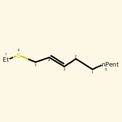 CCCCCCC/C=C/CSCC